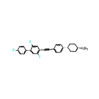 CCC[C@H]1CC[C@H](c2ccc(C#Cc3cc(F)c(-c4ccc(F)cc4)cc3F)cc2)CC1